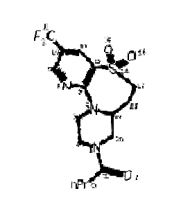 CCCC(=O)N1CCN2c3ncc(C(F)(F)F)cc3S(=O)(=O)CCC2C1